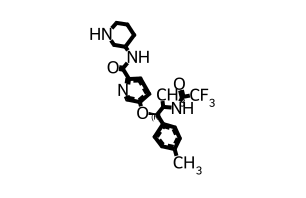 Cc1ccc([C@@H](Oc2ccc(C(=O)NC3CCCNC3)nc2)C(C)NC(=O)C(F)(F)F)cc1